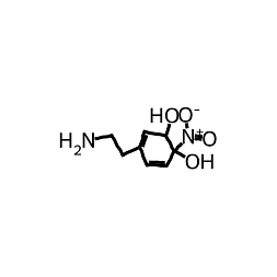 NCCC1=CC(O)C(O)([N+](=O)[O-])C=C1